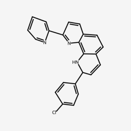 Clc1ccc(C2C=Cc3ccc4ccc(-c5ccccn5)nc4c3N2)cc1